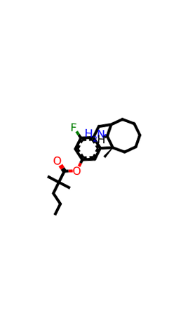 CCCC(C)(C)C(=O)Oc1cc(F)c2c(c1)[C@@]1(C)CCCCCC(C2)[C@@H]1N